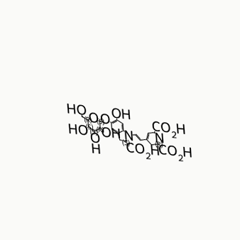 O=C(O)C1=N[C@@H](C(=O)O)CC(C=CN2c3cc(O)c(O[C@@H]4O[C@H](CO)[C@@H](O)[C@H](O)[C@H]4O)cc3C[C@H]2C(=O)O)=C1